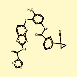 Cc1ccc(NC(=O)c2cccc(C3(C#N)CC3)c2)cc1Oc1ccc2nc(NC(=O)c3cocn3)sc2n1